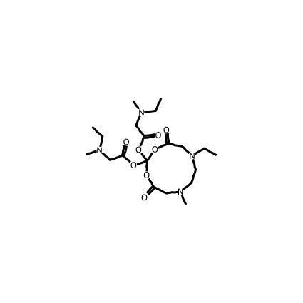 CCN(C)CC(=O)OC1(OC(=O)CN(C)CC)OC(=O)CN(C)CCN(CC)CC(=O)O1